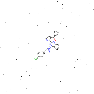 O=C(c1ccccc1)c1cccnc1-c1nc(NCc2ccc(Cl)cc2)c2ccccc2n1